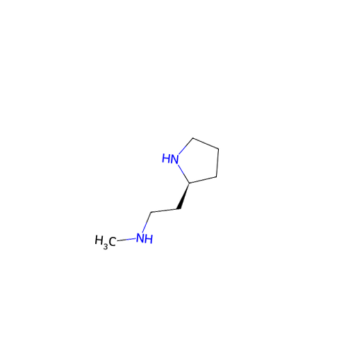 CNCC[C@@H]1CCCN1